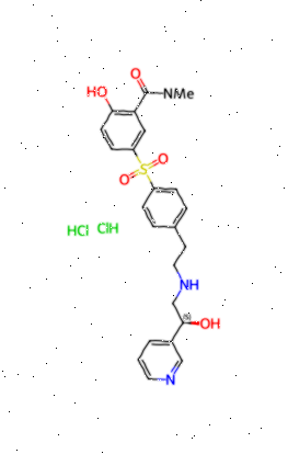 CNC(=O)c1cc(S(=O)(=O)c2ccc(CCNC[C@@H](O)c3cccnc3)cc2)ccc1O.Cl.Cl